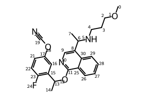 COCCCNC(C)c1cnc(OC(C)c2cc(OC#N)ccc2F)c2ccccc12